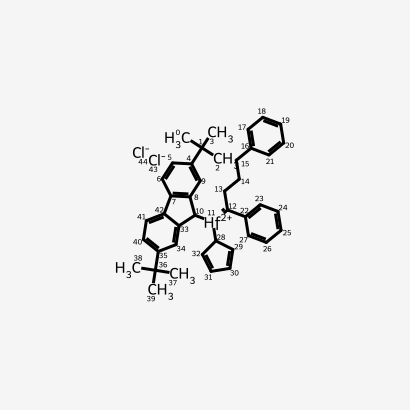 CC(C)(C)c1ccc2c(c1)[CH]([Hf+2](=[C](CCCc1ccccc1)c1ccccc1)[CH]1C=CC=C1)c1cc(C(C)(C)C)ccc1-2.[Cl-].[Cl-]